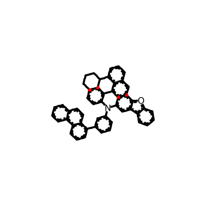 c1cc(-c2cccc3c2ccc2ccccc23)cc(N(c2ccc3oc4ccccc4c3c2)c2ccccc2-c2cccc3cccc(C4CCCCC4)c23)c1